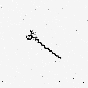 CCCCCCCCCCCCCCCCNc1ccncc1[N+](=O)[O-]